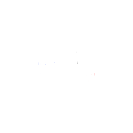 NC(C(=O)N1CC[C@@H](Oc2ccc(CCB(O)O)c(O)c2C(=O)O)C1)C1=CCC=N1